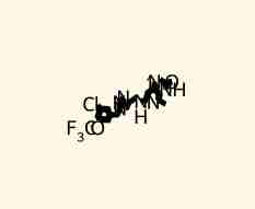 Cc1nc(NCc2cn(Cc3cc(Cl)cc(OC(F)(F)F)c3)nn2)cc2c1NC(=O)CN2C